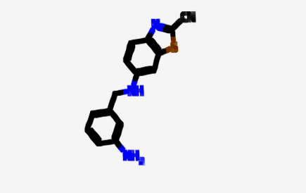 N#Cc1nc2ccc(NCc3cccc(N)c3)cc2s1